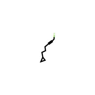 FCC#CCCCC1[CH]C1